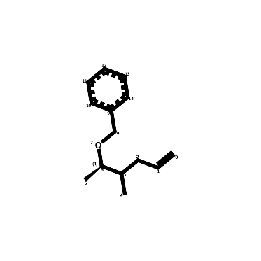 C=CCC(C)[C@@H](C)OCc1ccccc1